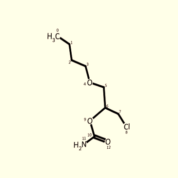 CCCCOCC(CCl)OC(N)=O